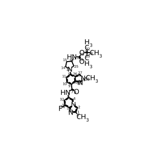 Cc1cn2cc(NC(=O)c3ccc(N4CC[C@@H](NC(=O)OC(C)(C)C)C4)c4cn(C)nc34)cc(F)c2n1